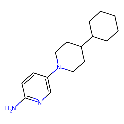 Nc1ccc(N2CCC(C3CCCCC3)CC2)cn1